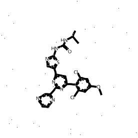 COc1cc(Cl)c(-c2cc(-c3cnc(NC(=O)NC(C)C)s3)nc(-c3cnccn3)n2)c(Cl)c1